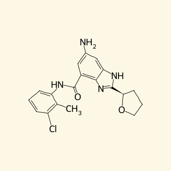 Cc1c(Cl)cccc1NC(=O)c1cc(N)cc2[nH]c([C@H]3CCCO3)nc12